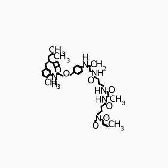 C=C(CNC(=O)CCCNC(=O)[C@H](C)NC(=O)CCCN(C=O)C(=O)/C=C\C)Nc1ccc(COCC(=O)Nc2cc(CC(CC(C)C)C3CCC3)ccc2C)cc1